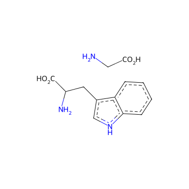 NC(Cc1c[nH]c2ccccc12)C(=O)O.NCC(=O)O